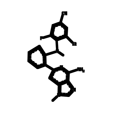 CCc1cc(C#N)cc(F)c1N(C)c1ccccc1-c1cc2c(ncn2C)c(N)n1